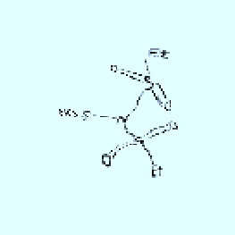 CCS(=O)(=O)N(C(=O)O)S(=O)(=O)CC